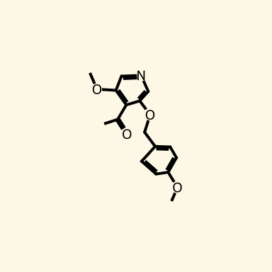 COc1ccc(COc2cncc(OC)c2C(C)=O)cc1